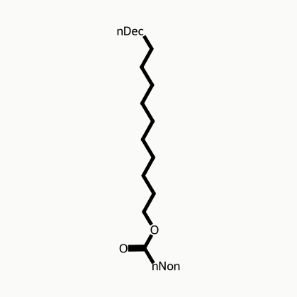 CCCCCCCCCCCCCCCCCCCCOC(=O)CCCCCCCCC